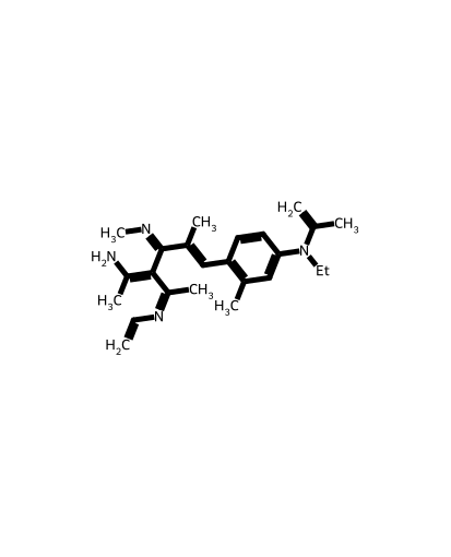 C=C\N=C(C)/C(C(=N\C)/C(C)=C/c1ccc(N(CC)C(=C)C)cc1C)=C(\C)N